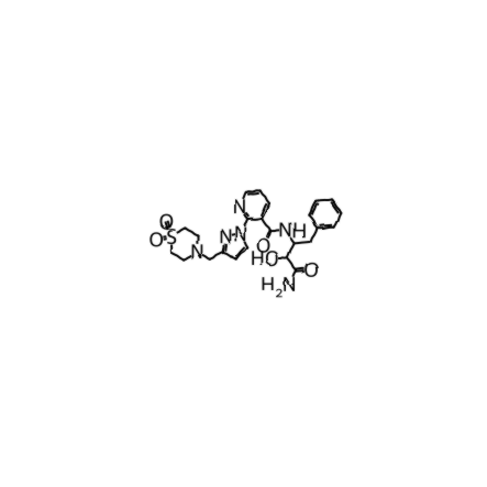 NC(=O)C(O)C(Cc1ccccc1)NC(=O)c1cccnc1-n1ccc(CN2CCS(=O)(=O)CC2)n1